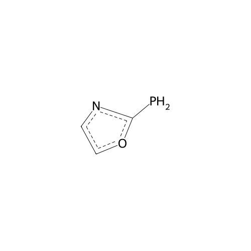 Pc1ncco1